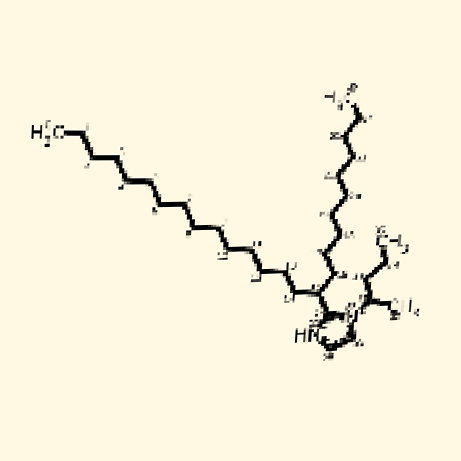 CCCCCCCCCCCCCCCC(CCCCCCCCCC)c1[nH]cc[n+]1C(C)CCC